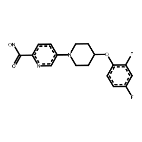 O=NC(=O)c1ccc(N2CCC(Oc3ccc(F)cc3F)CC2)cn1